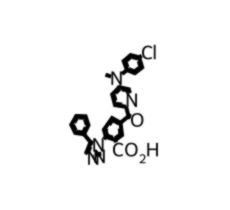 CN(c1ccc(Cl)cc1)c1ccc(C(=O)c2ccc(-n3nncc3-c3ccccc3)c(C(=O)O)c2)nc1